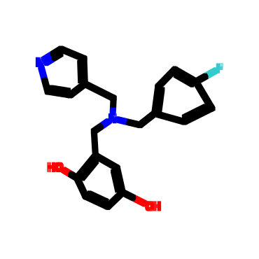 Oc1ccc(O)c(CN(Cc2ccncc2)Cc2ccc(F)cc2)c1